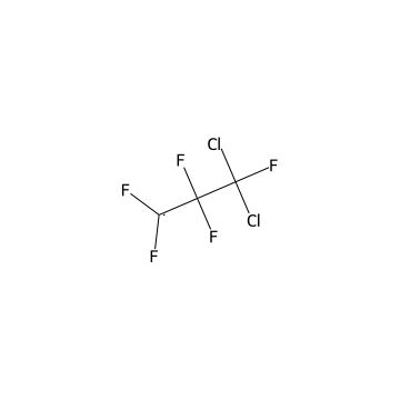 F[C](F)C(F)(F)C(F)(Cl)Cl